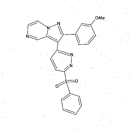 COc1cccc(-c2nn3ccncc3c2-c2ccc(S(=O)(=O)c3ccccc3)nn2)c1